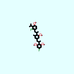 COc1ccc(CC(C)c2c(C)cc(CC(C)c3c(OC)cc(F)cc3OC)cc2OC)c(F)c1C(C)C